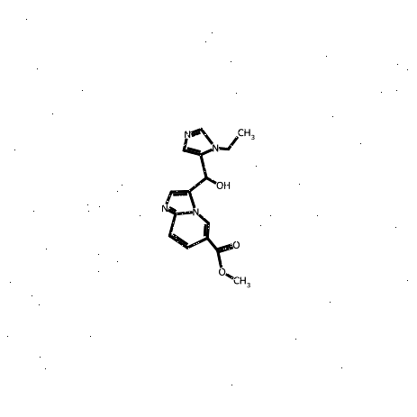 CCn1cncc1C(O)c1cnc2ccc(C(=O)OC)cn12